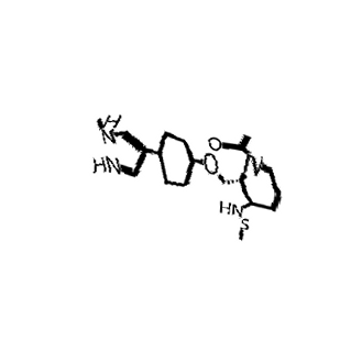 CN/C=C(\C=N)[C@H]1CC[C@@H](OC[C@H]2C(NSC)CCCN2C(C)=O)CC1